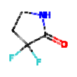 O=C1NCCC1(F)F